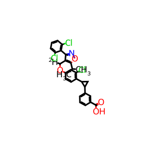 [2H]C(Oc1ccc(C2CC2c2cccc(C(=O)O)c2)c(Cl)c1)c1c(-c2c(Cl)cccc2Cl)noc1C(C)C